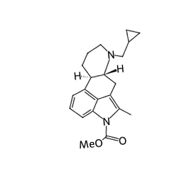 COC(=O)n1c(C)c2c3c(cccc31)[C@H]1CCCN(CC3CC3)[C@@H]1C2